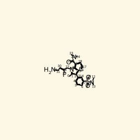 Cc1c(-c2cccc(S(=O)(=O)N(C)C)c2)c2cccc(C(=O)N(C)C)c2n1C/C(F)=C/CN